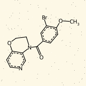 COc1ccc(C(=O)N2CCOc3ccncc32)cc1Br